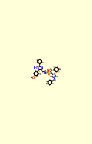 COc1ccc(-c2[nH]c(-c3ccccc3)nc2CCNS(=O)(=O)N(Cc2ccccc2)C2CCN(Cc3ccccc3)C2)cc1